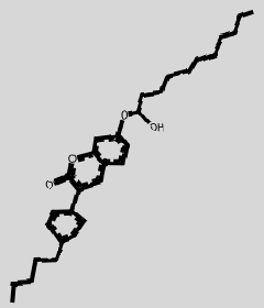 CCCCCCCCCCC(O)Oc1ccc2cc(-c3ccc(CCCCC)cc3)c(=O)oc2c1